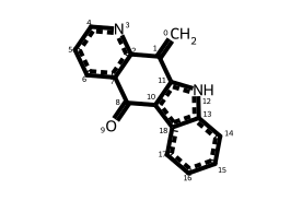 C=C1c2ncccc2C(=O)c2c1[nH]c1ccccc21